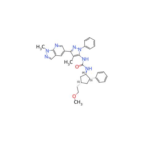 COCC[C@@H]1C[C@@H](NC(=O)Nc2c(C)c(-c3cnc4c(cnn4C)c3)nn2-c2ccccc2)[C@H](c2ccccc2)C1